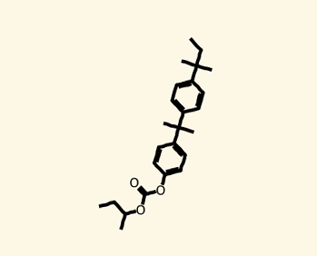 CCC(C)OC(=O)Oc1ccc(C(C)(C)c2ccc(C(C)(C)CC)cc2)cc1